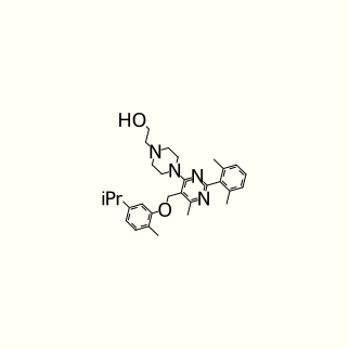 Cc1ccc(C(C)C)cc1OCc1c(C)nc(-c2c(C)cccc2C)nc1N1CCN(CCO)CC1